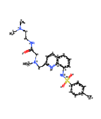 CN(C)CCNC(=O)CN(Cc1ccc2cccc(NS(=O)(=O)c3ccc(C(F)(F)F)cc3)c2n1)C(=O)O